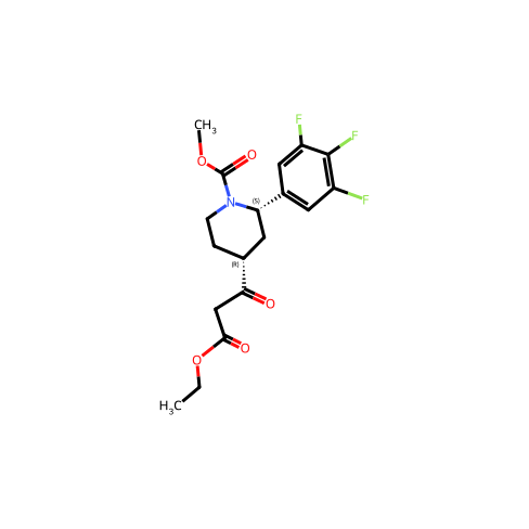 CCOC(=O)CC(=O)[C@@H]1CCN(C(=O)OC)[C@H](c2cc(F)c(F)c(F)c2)C1